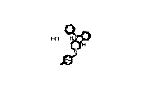 CC12C=CC(CN3CC[C@@H]4[C@@H](C3)c3ccccc3N4c3ccccc3)(CC1)CC2.Cl